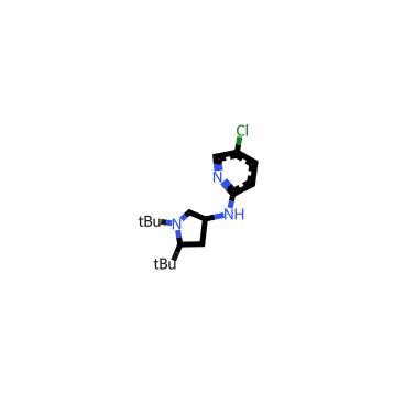 CC(C)(C)C1CC(Nc2ccc(Cl)cn2)CN1C(C)(C)C